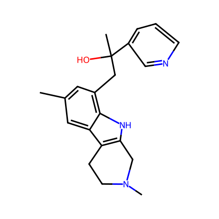 Cc1cc(CC(C)(O)c2cccnc2)c2[nH]c3c(c2c1)CCN(C)C3